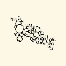 CCOP(=O)(CNC(=O)O[C@@H]1[C@]2(CC)C=CCN3CC[C@@]4(C5=CC([C@@]6(C(=O)OC)C[C@H]7CN(CCc8c6[nH]c6ccccc86)C[C@](O)(CC)C7)C(OC)C=C5N(C)[C@H]4[C@@]1(O)C(=O)OC)[C@@H]32)OCC